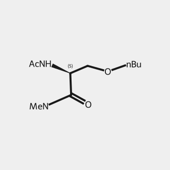 CCCCOC[C@H](NC(C)=O)C(=O)NC